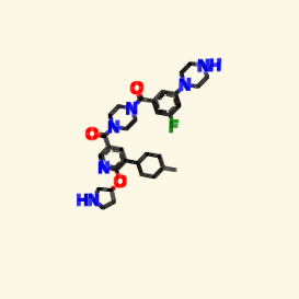 CC1CCC(c2cc(C(=O)N3CCN(C(=O)c4cc(F)cc(N5CCNCC5)c4)CC3)cnc2O[C@H]2CCNC2)CC1